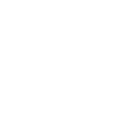 C1CCOCC1.C1CCOCC1.CC1(C)OB(C2=CCOCC2)OC1(C)C